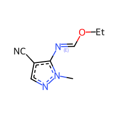 CCO/C=N/c1c(C#N)cnn1C